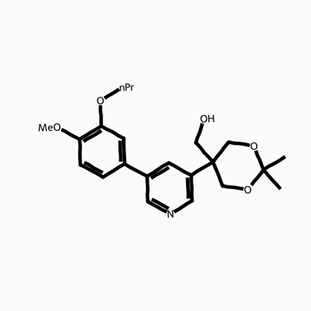 CCCOc1cc(-c2cncc(C3(CO)COC(C)(C)OC3)c2)ccc1OC